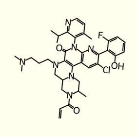 C=CC(=O)N1CC2CN(CCCN(C)C)c3c(c4cc(Cl)c(-c5c(O)cccc5F)nc4n(-c4c(C)ccnc4C(C)C)c3=O)N2CC1C